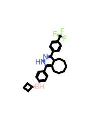 FC(F)(F)c1ccc(C2=NNC(c3ccc(BC4CCC4)cc3)=C3CCCCCCC23)cc1